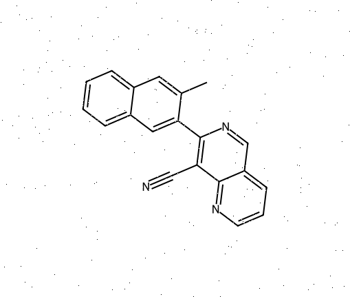 Cc1cc2ccccc2cc1-c1ncc2cccnc2c1C#N